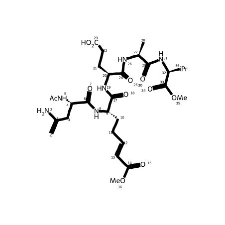 C=C(N)C[C@H](NC(C)=O)C(=O)N[C@@H](CC/C=C/C(=O)OC)C(=O)N[C@@H](CCC(=O)O)C(=O)N[C@@H](C)C(=O)N[C@H](C(=O)OC)C(C)C